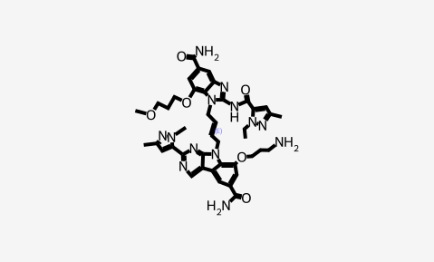 CCn1nc(C)cc1C(=O)Nc1nc2cc(C(N)=O)cc(OCCCOC)c2n1C/C=C/Cn1c2nc(-c3cc(C)nn3C)ncc2c2cc(C(N)=O)cc(OCCCN)c21